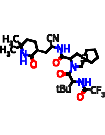 CC1(C)CC[C@@H](C[C@@H](C#N)NC(=O)C2C[Si]3(CCCC3)CN2C(=O)C(NC(=O)C(F)(F)F)C(C)(C)C)C(=O)N1